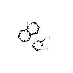 Nc1ncc[nH]1.c1ccc2ncccc2c1